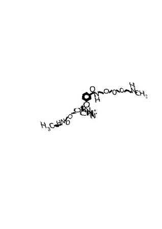 CC#CCNC(=O)COCCOC(C)(COc1cccc(C(=O)NCCOCCOCCOCCCNC)c1)N=[N+]=[N-]